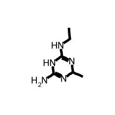 CCNC1=NC(C)N=C(N)N1